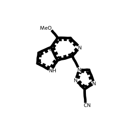 COc1cnc(-n2cnc(C#N)n2)c2[nH]ccc12